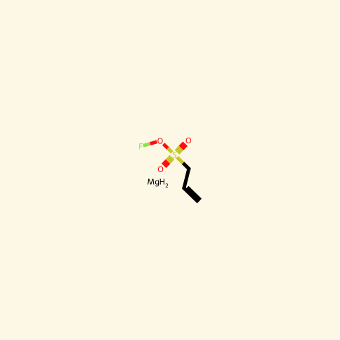 C=CCS(=O)(=O)OF.[MgH2]